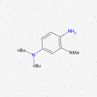 CCCCN(CCCC)c1ccc(N)c(NC)c1